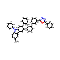 CCCc1ccc2c(c1)c1cc(-c3ccccc3-c3ccccc3-c3ccc(-c4nnc(-c5ccccc5)o4)cc3)ccc1n2-c1ccccc1